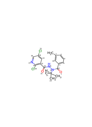 Cc1cccc(C(=O)N(NC(=O)c2cc(Cl)cnc2Cl)C(C)(C)C)c1